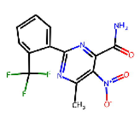 Cc1nc(-c2ccccc2C(F)(F)F)nc(C(N)=O)c1[N+](=O)[O-]